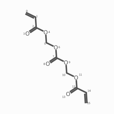 C=CC(=O)OCOC(=O)OCOC(=O)C=C